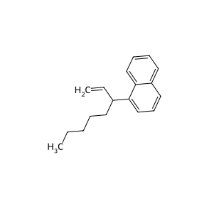 C=CC(CCCCC)c1cccc2ccccc12